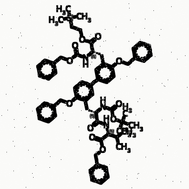 CC(C)[C@H](NC(=O)[C@H](Cc1cc(-c2ccc(OCc3ccccc3)c(C[C@H](NC(=O)OCc3ccccc3)C(=O)OCC[Si](C)(C)C)c2)ccc1OCc1ccccc1)NC(=O)OC(C)(C)C)C(=O)OCc1ccccc1